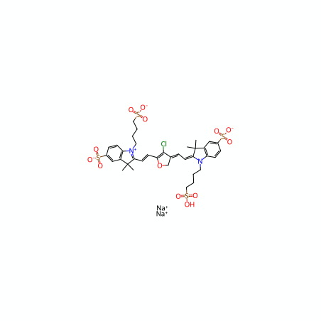 CC1(C)C(/C=C/C2=C(Cl)C(=C/C=C3/N(CCCCS(=O)(=O)O)c4ccc(S(=O)(=O)[O-])cc4C3(C)C)/CO2)=[N+](CCCCS(=O)(=O)[O-])c2ccc(S(=O)(=O)[O-])cc21.[Na+].[Na+]